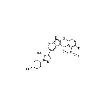 COc1c(F)ccc(Cl)c1C(C)c1c[nH]c2ncc(-c3cnn([C@H]4CC[C@H](O)CC4)c3C)cc12